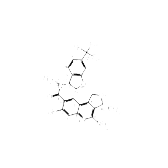 C[C@H]1OCc2c1c(N)nc1cc(F)c(C(=O)N(C)[C@@H]3COc4cc(C(F)(F)F)ccc43)cc21